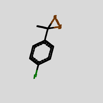 CC1(c2ccc(F)cc2)SS1